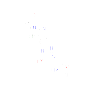 C[C@@H]1OCC2(CCN(c3ncc(Sc4ccnc(N5CC(C)(CO)C5)c4Cl)nc3CO)CC2)[C@@H]1N